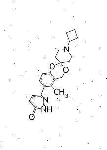 Cc1c(-c2ccc(=O)[nH]n2)ccc2c1COC1(CCN(C3CCC3)CC1)O2